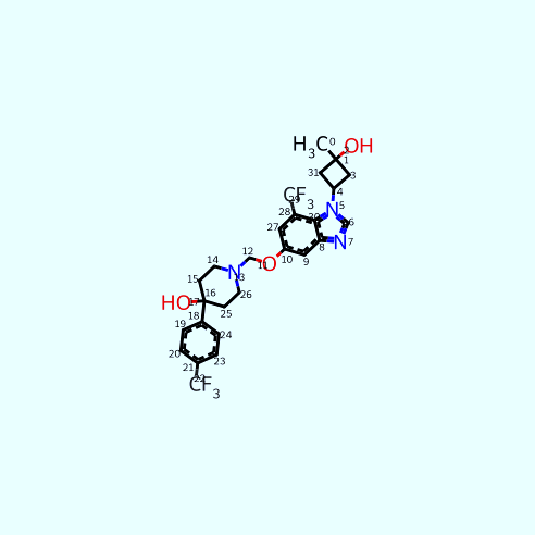 CC1(O)CC(n2cnc3cc(OCN4CCC(O)(c5ccc(C(F)(F)F)cc5)CC4)cc(C(F)(F)F)c32)C1